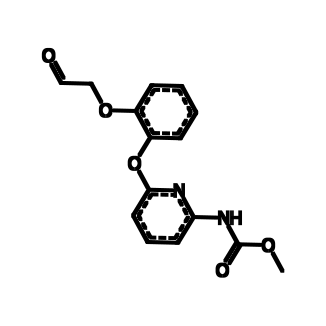 COC(=O)Nc1cccc(Oc2ccccc2OCC=O)n1